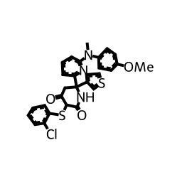 COc1ccc(N(C)c2cccc(C3(c4ccsc4)CC(=O)C(Sc4ccccc4Cl)C(=O)N3)n2)cc1